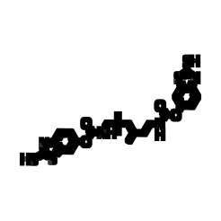 CC(CCNC(=O)Oc1ccc2nc(S)sc2c1)CC(C)(C)CNC(=O)Oc1ccc2nc(S)sc2c1